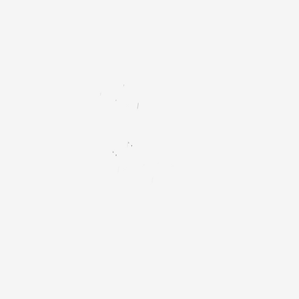 CC(C)(C)Cc1cnn(CC(C)(C)C)c1